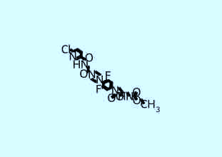 CCOC(=O)NC[C@H]1CN(c2cc(F)c(N3CCN(C(=O)CNC(=O)c4ccc(Cl)nc4)CC3)c(F)c2)C(=O)O1